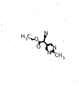 CCOC(=O)C(C#N)c1cnc(C)nc1